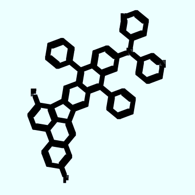 Fc1ccc2c(c1)cc1c3c(c(F)ccc32)-c2cc3c(-c4ccccc4)c4ccc(N(c5cccnc5)c5cccnc5)cc4c(-c4ccccc4)c3cc2-1